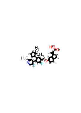 Cc1cc(-c2cc(F)c(COc3ccc4c(c3)[C@]3(CC4)C[C@H]3C(=O)O)cc2[C@H]2CCCC2(C)C)c(F)cn1